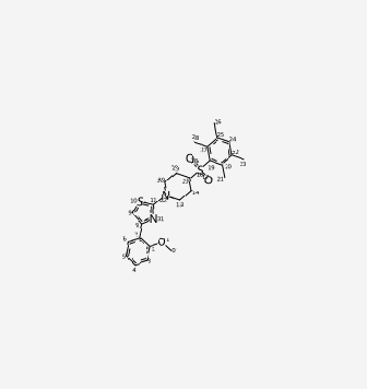 COc1ccccc1-c1csc(N2CCC(S(=O)(=O)c3c(C)c(C)cc(C)c3C)CC2)n1